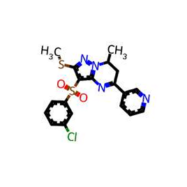 CSc1nn2c(c1S(=O)(=O)c1cccc(Cl)c1)N=C(c1cccnc1)CC2C